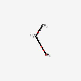 CCCCCCCCCCCCCCCCCCCCCCC(C)CCCCCCCCCCCCC